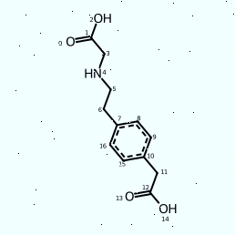 O=C(O)CNCCc1ccc(CC(=O)O)cc1